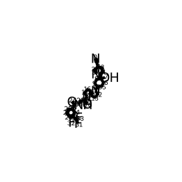 N#Cc1ccc(C2(O)CCC(N3CCC4C3CCN4C(=O)CNC(=O)c3cccc(C(F)(F)F)c3)CC2)nc1